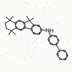 CC1(C)CCC(C)(C)c2cc3c(cc21)-c1ccc(Nc2ccc(-c4ccccc4)cc2)cc1C3(C)C